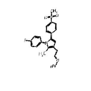 CCCOCCc1cc(-c2ccc(S(C)(=O)=O)cc2)n(-c2ccc(F)cc2)c1C